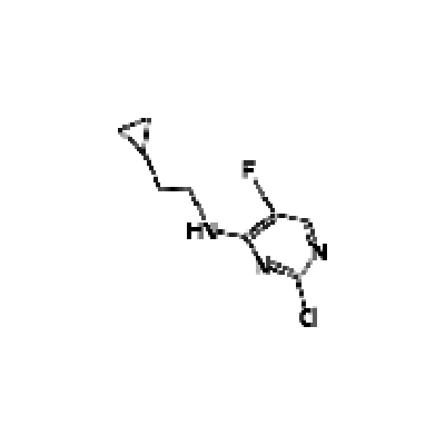 Fc1cnc(Cl)nc1NCCC1CC1